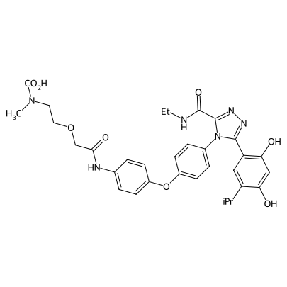 CCNC(=O)c1nnc(-c2cc(C(C)C)c(O)cc2O)n1-c1ccc(Oc2ccc(NC(=O)COCCN(C)C(=O)O)cc2)cc1